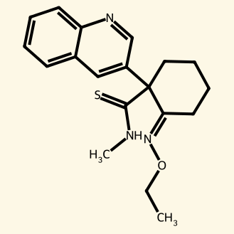 CCON=C1CCCCC1(C(=S)NC)c1cnc2ccccc2c1